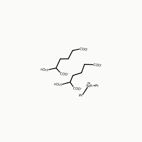 CCCCCCCCC(CCCC(=O)[O-])C(=O)[O-].CCCCCCCCC(CCCC(=O)[O-])C(=O)[O-].C[CH](C)[SnH2+4][CH](C)C